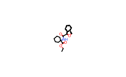 CCOC(=O)C1(NC(=O)c2occ3ccccc23)CCCCC1